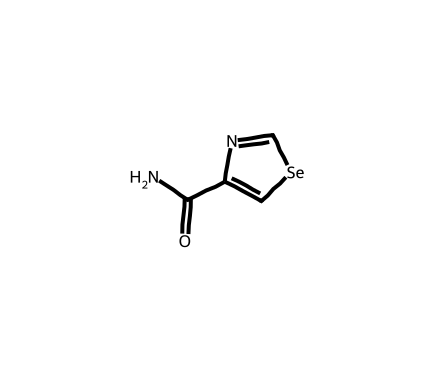 NC(=O)c1c[se]cn1